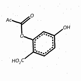 CC(=O)C(=O)Oc1cc(O)ccc1C(=O)O